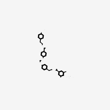 COc1c(I)cc(C(=O)OCCc2ccc(OC(=O)Oc3ccc(C(=O)OCCc4ccc(OC(C)=O)cc4)cc3)cc2)cc1I